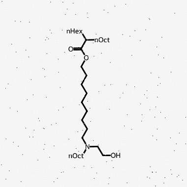 CCCCCCCCC(CCCCCC)C(=O)OCCCCCCCCCN(CCO)CCCCCCCC